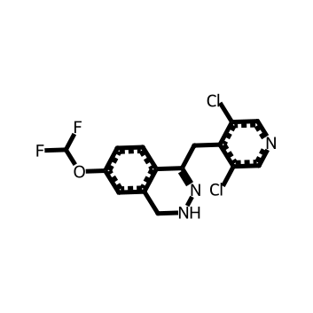 FC(F)Oc1ccc2c(c1)CNN=C2Cc1c(Cl)cncc1Cl